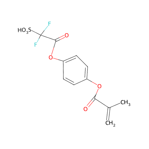 C=C(C)C(=O)Oc1ccc(OC(=O)C(F)(F)S(=O)(=O)O)cc1